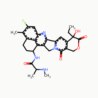 CCC1(O)C(=O)OCc2c1cc1n(c2=O)Cc2c-1nc1cc(F)c(C)c3c1c2C(NC(=O)C(C)NC)CC3